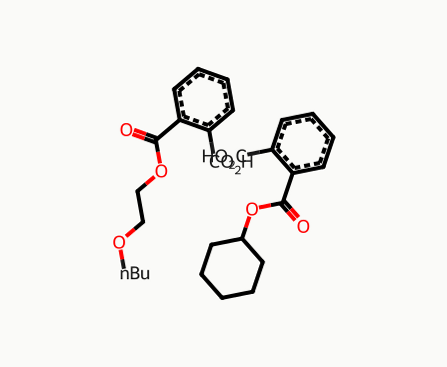 CCCCOCCOC(=O)c1ccccc1C(=O)O.O=C(O)c1ccccc1C(=O)OC1CCCCC1